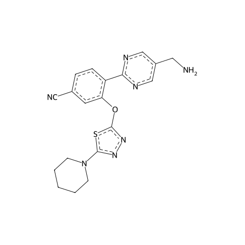 N#Cc1ccc(-c2ncc(CN)cn2)c(Oc2nnc(N3CCCCC3)s2)c1